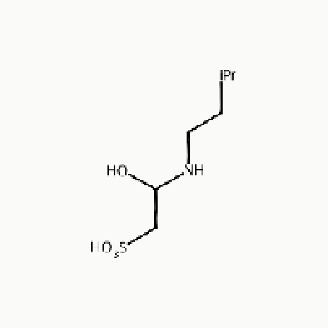 CC(C)CCNC(O)CS(=O)(=O)O